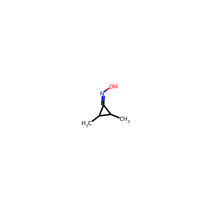 CC1C(=NO)C1C